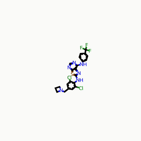 FC(F)(F)c1ccc(Nc2ncnc3sc(Nc4c(Cl)cc(CN5CCC5)cc4Cl)nc23)cc1